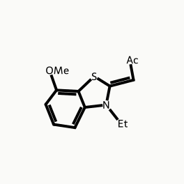 CCN1/C(=C/C(C)=O)Sc2c(OC)cccc21